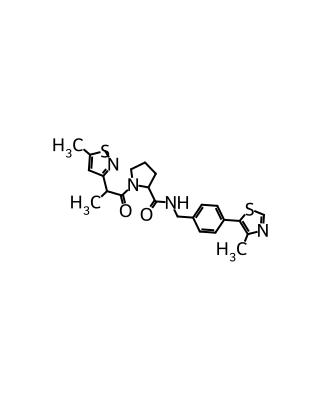 Cc1cc(C(C)C(=O)N2CCCC2C(=O)NCc2ccc(-c3scnc3C)cc2)ns1